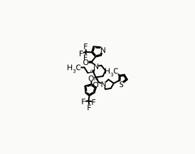 CCC[C@H]1N(C(=O)c2cnccc2C(F)(F)F)CCC[C@@]1(Oc1ccc(C(F)(F)F)cc1)C(=O)N1CCC(c2sccc2C)C1